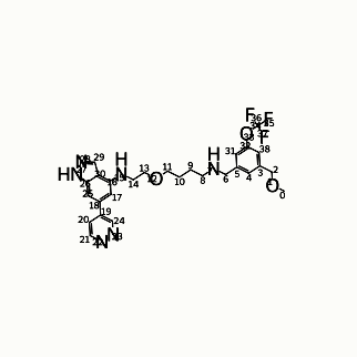 COCc1cc(CNCCCCOCCNc2cc(-c3ccnnc3)cc3[nH]ncc23)cc(OC(F)(F)F)c1